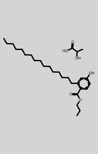 CC(O)C(=O)O.CCCCCCCCCCCCCCCCc1cc(O)ccc1C(=O)OCCC